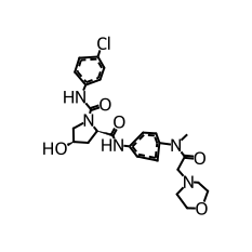 CN(C(=O)CN1CCOCC1)c1ccc(NC(=O)[C@H]2C[C@@H](O)CN2C(=O)Nc2ccc(Cl)cc2)cc1